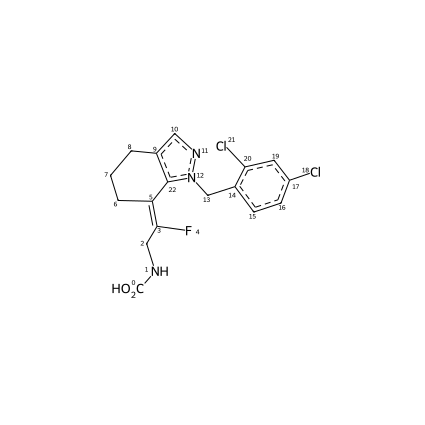 O=C(O)NCC(F)=C1CCCc2cnn(Cc3ccc(Cl)cc3Cl)c21